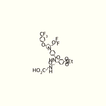 CCS(=O)(=O)c1ccc([C@H](CC(=O)NCCC(=O)O)NC(=O)c2ccc(N3C[C@@H](Oc4ccc(C(F)(F)F)cc4)C[C@H]3COC(F)F)cc2)cc1